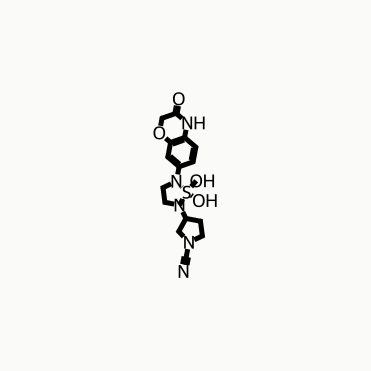 N#CN1CCC(N2CCN(c3ccc4c(c3)OCC(=O)N4)S2(O)O)C1